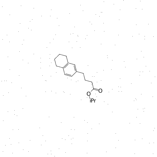 CC(C)OC(=O)CCCc1ccc2c(c1)CCCC2